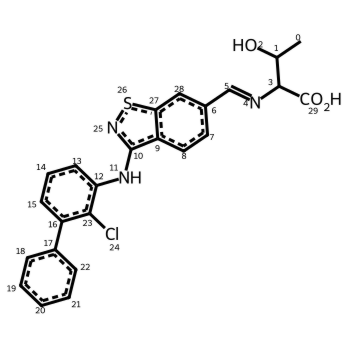 CC(O)C(N=Cc1ccc2c(Nc3cccc(-c4ccccc4)c3Cl)nsc2c1)C(=O)O